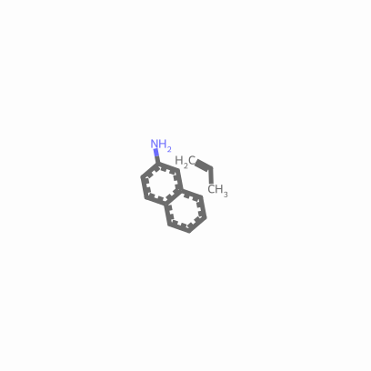 C=CC.Nc1ccc2ccccc2c1